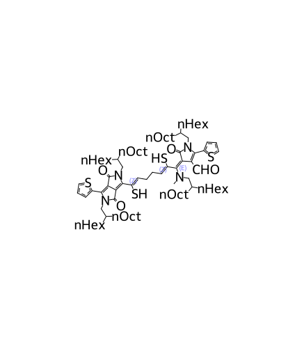 CCCCCCCCC(CCCCCC)CN1C(=O)C2=C(c3cccs3)N(CC(CCCCCC)CCCCCCCC)C(=O)C2=C1/C(S)=C/CC/C=C(S)/C(=C1\C(=O)N(CC(CCCCCC)CCCCCCCC)C(c2cccs2)=C1C=O)N(C)CC(CCCCCC)CCCCCCCC